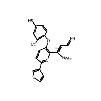 CN/C(=C\C=N)c1nc(-c2ccsc2)ccc1Oc1ccc(S)cc1C#N